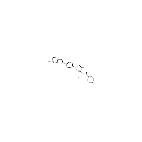 Cc1cnc2cc(-c3ccc(-n4cc(C(=O)O)c(N(C(=O)C5CCC(C)CC5)C(C)C)n4)cc3)oc2c1